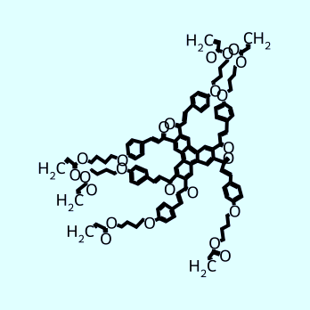 C=CC(=O)OCCCCOc1ccc(C=CC(=O)c2cc3c4cc(C(=O)C=Cc5ccc(OCCCCOC(=O)C=C)cc5)c(C(=O)C=Cc5ccc(OCCCCOC(=O)C=C)cc5)cc4c4cc(C(=O)C=Cc5ccc(OCCCCOC(=O)C=C)cc5)c(C(=O)C=Cc5ccc(OCCCCOC(=O)C=C)cc5)cc4c3cc2C(=O)C=Cc2ccc(OCCCCOC(=O)C=C)cc2)cc1